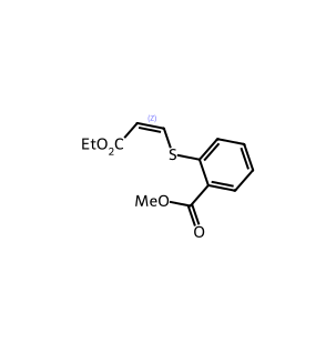 CCOC(=O)/C=C\Sc1ccccc1C(=O)OC